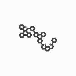 c1ccc(-c2ccc3ccc4ccc(-c5ccc6c7ccc(-c8cccc(-c9nc%10ccccc%10c%10c%11ccccc%11c%11ccccc%11c9%10)c8)cc7c7ccccc7c6c5)nc4c3n2)cc1